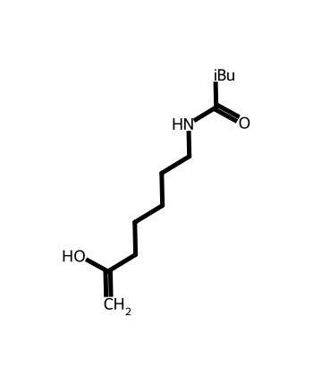 C=C(O)CCCCCNC(=O)C(C)CC